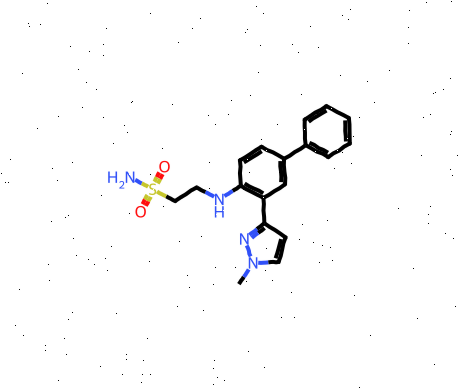 Cn1ccc(-c2cc(-c3ccccc3)ccc2NCCS(N)(=O)=O)n1